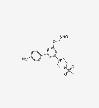 CS(=O)(=O)N1CCN(c2cc(OCC=O)cc(-c3ccc(C#N)cc3)c2)CC1